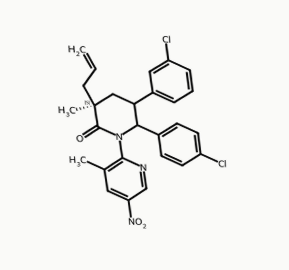 C=CC[C@@]1(C)CC(c2cccc(Cl)c2)C(c2ccc(Cl)cc2)N(c2ncc([N+](=O)[O-])cc2C)C1=O